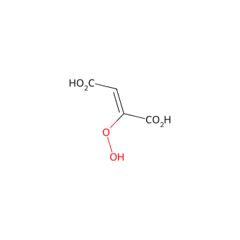 O=C(O)/C=C(\OO)C(=O)O